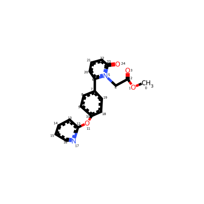 COC(=O)Cn1c(-c2ccc(Oc3ccccn3)cc2)cccc1=O